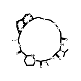 CC(C)[C@@H]1NC(=O)CCCCCCc2cc3cc(ccc3cn2)[C@@H](C)OC(=O)[C@@H]2CCCN(N2)C(=O)[C@H](C)NC1=O